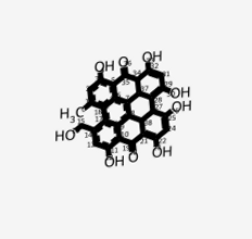 Cc1cc(O)c2c3c4c5c6c(c(O)cc(CO)c6c13)C(=O)C1=C(O)C=C(O)C(C3=C(O)C=C(O)C(C2=O)C34)C15